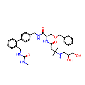 CNC(=O)NCc1ccccc1-c1ccc(CNC(=O)[C@@H](COCc2ccccc2)NC(=O)CC(C)(C)NC[C@H](O)CO)cc1